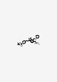 CC(C)(C)OC(=O)N1CCC(CCc2noc3c(COC4CCCCO4)c(CN)ccc23)CC1